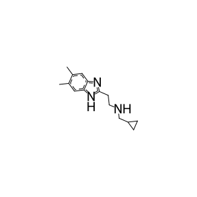 Cc1cc2nc(CCNCC3CC3)[nH]c2cc1C